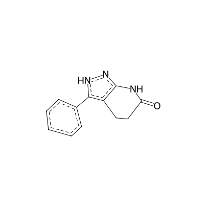 O=C1CCc2c(n[nH]c2-c2ccccc2)N1